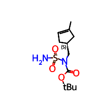 CC1=CC[C@H](CN(C(=O)OC(C)(C)C)S(N)(=O)=O)C1